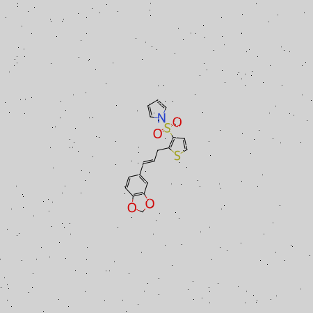 O=S(=O)(c1ccsc1CC=Cc1ccc2c(c1)OCO2)n1cccc1